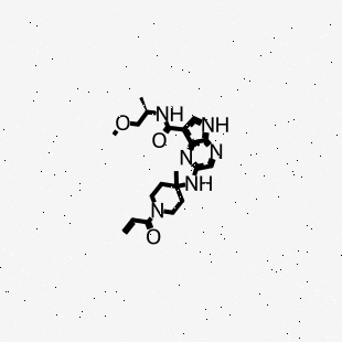 C=CC(=O)N1CCC(C)(Nc2cnc3[nH]cc(C(=O)N[C@H](C)COC)c3n2)CC1